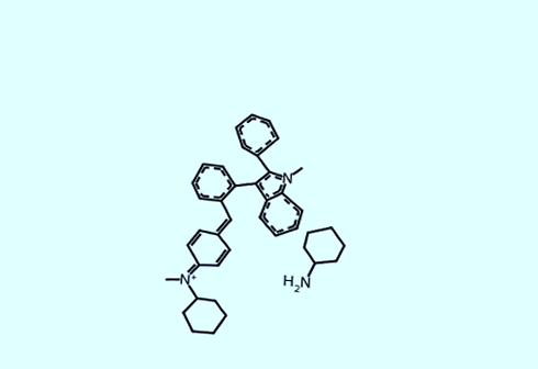 Cn1c(-c2ccccc2)c(-c2ccccc2C=C2C=CC(=[N+](C)C3CCCCC3)C=C2)c2ccccc21.NC1CCCCC1